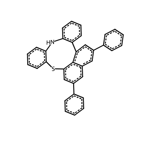 c1ccc(-c2cc3c4c(cc(-c5ccccc5)cc4c2)-c2ccccc2Nc2ccccc2S3)cc1